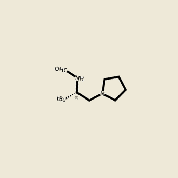 CC(C)(C)[C@@H](CN1CCCC1)NC=O